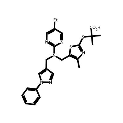 CCc1cnc(N(Cc2cnn(-c3ccccc3)c2)Cc2sc(SC(C)(C)C(=O)O)nc2C)nc1